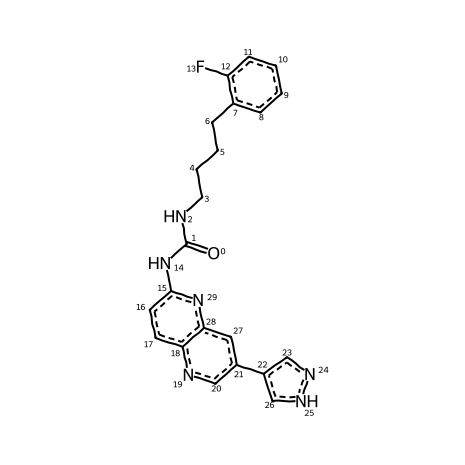 O=C(NCCCCc1ccccc1F)Nc1ccc2ncc(-c3cn[nH]c3)cc2n1